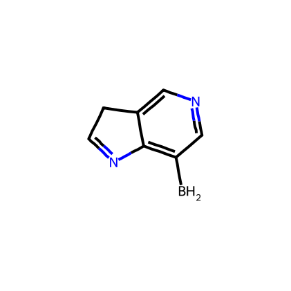 Bc1cncc2c1N=CC2